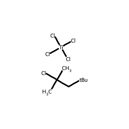 CC(C)(C)CC(C)(C)Cl.[Cl][Ti]([Cl])([Cl])[Cl]